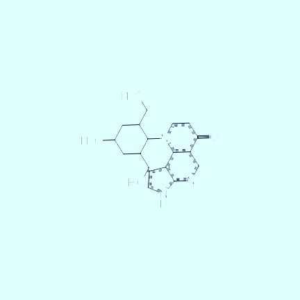 CCC1CC(C)CC(CO)C1n1ccc(=O)c2cnc3[nH]ccc3c21